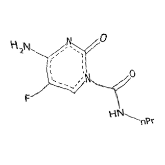 CCCNC(=O)n1cc(F)c(N)nc1=O